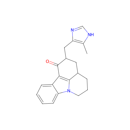 Cc1[nH]cnc1CC1CC2CCCn3c2c(c2ccccc23)C1=O